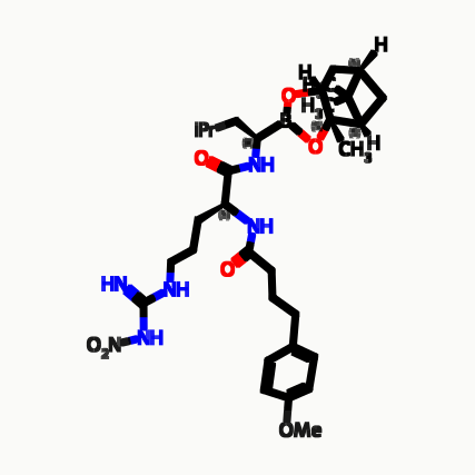 COc1ccc(CCCC(=O)N[C@@H](CCCNC(=N)N[N+](=O)[O-])C(=O)N[C@@H](CC(C)C)B2O[C@@H]3C[C@@H]4C[C@@H](C4(C)C)[C@]3(C)O2)cc1